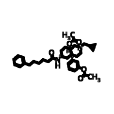 CC(=O)Oc1cccc([C@@]23CCN(CC4CC4)C[C@@]2(OC(C)=O)CC[C@@H](NC(=O)CCCCCc2ccccc2)C3)c1